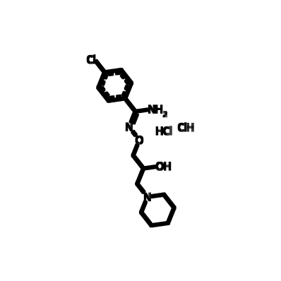 Cl.Cl.NC(=NOCC(O)CN1CCCCC1)c1ccc(Cl)cc1